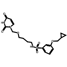 O=c1ccn(COCCCCNS(=O)(=O)c2cccc(OCC3CC3)c2)c(=O)[nH]1